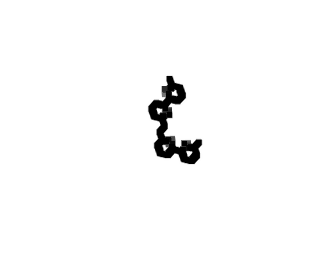 Cc1cccc(-c2cccc(CCc3cccc(-c4cccc(C)n4)n3)n2)n1